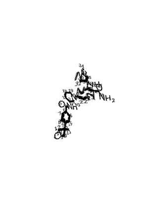 C[C@@H]1[C@H](NC(=O)c2ccc(C3(C)COC3)cc2)CCCN1c1cnc(C(N)=O)c(Nc2cnn(C)c2)n1